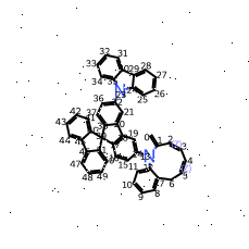 C=C1/C=C\C=C/Cc2ccccc2N1c1ccc2c(c1)-c1cc(-n3c4ccccc4c4ccccc43)ccc1C21c2ccccc2-c2ccccc21